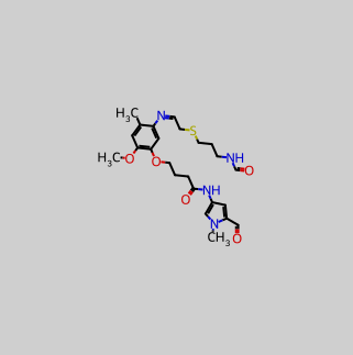 COc1cc(C)c(/N=C\CSCCCNC=O)cc1OCCCC(=O)Nc1cc(C=O)n(C)c1